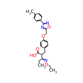 CCON=C(CC)C(Cc1ccc(OCc2nc(-c3ccc(C)cc3)no2)cc1)C(=O)O